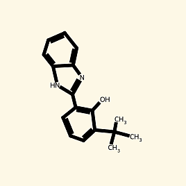 CC(C)(C)c1cccc(-c2nc3ccccc3[nH]2)c1O